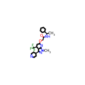 CC(NC(=O)COc1cc(C(F)(F)F)c2c(-c3ccncc3)nn(C)c2n1)c1ccccc1